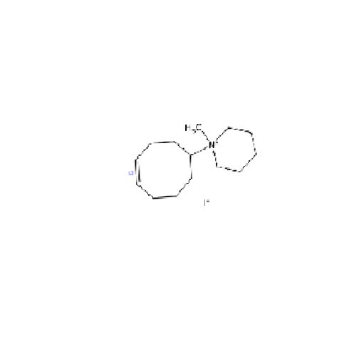 C[N+]1(C2CC/C=C\CCC2)CCCCC1.[I-]